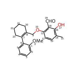 COc1ccccc1C1=C(COc2ccc(C)c(O)c2C=O)CCCC1